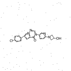 O=c1c2cc(-c3ccc(Cl)cc3)cn2ncn1-c1ccc(N2CC(O)C2)nc1